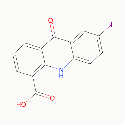 O=C(O)c1cccc2c(=O)c3cc(I)ccc3[nH]c12